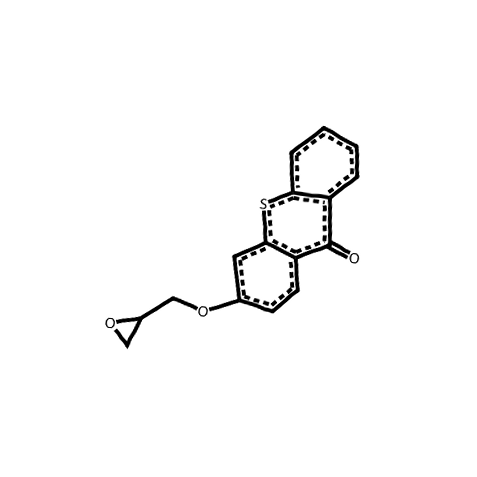 O=c1c2ccccc2sc2cc(OCC3CO3)ccc12